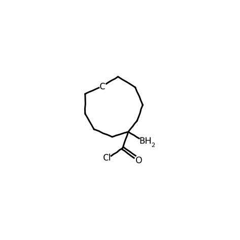 BC1(C(=O)Cl)CCCCCCCCC1